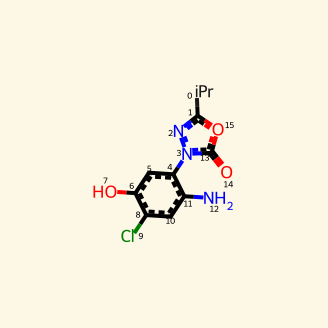 CC(C)c1nn(-c2cc(O)c(Cl)cc2N)c(=O)o1